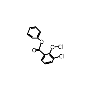 O=C(Oc1ccccc1)c1cccc(Cl)c1OCl